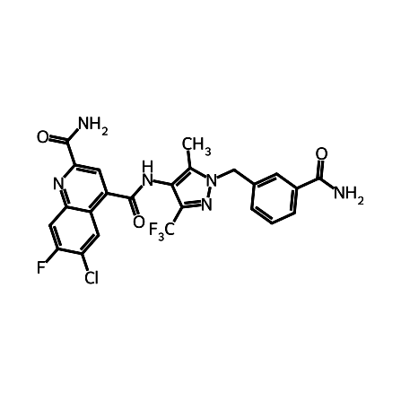 Cc1c(NC(=O)c2cc(C(N)=O)nc3cc(F)c(Cl)cc23)c(C(F)(F)F)nn1Cc1cccc(C(N)=O)c1